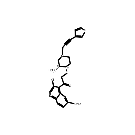 COc1ccc2ncc(Cl)c(C(=O)CC[C@H]3CCN(CC#Cc4ccsc4)C[C@H]3C(=O)O)c2c1